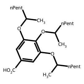 CCCCCC(C)Oc1cc(C(=O)O)cc(OC(C)CCCCC)c1OC(C)CCCCC